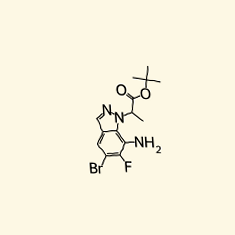 CC(C(=O)OC(C)(C)C)n1ncc2cc(Br)c(F)c(N)c21